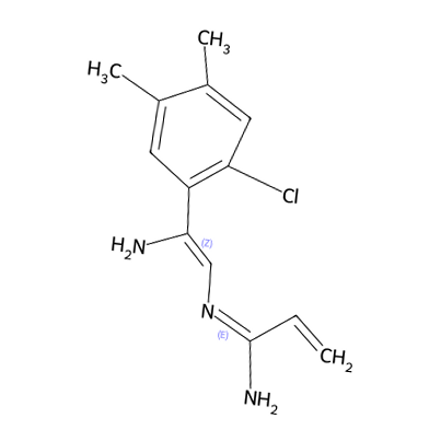 C=C/C(N)=N\C=C(/N)c1cc(C)c(C)cc1Cl